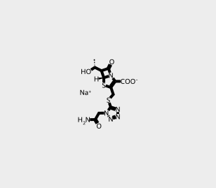 C[C@@H](O)C1C(=O)N2C(C(=O)[O-])=C(CSc3nnnn3CC(N)=O)S[C@H]12.[Na+]